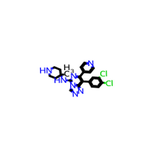 CC1(Nc2nc(-c3ccncc3)c(-c3ccc(Cl)c(Cl)c3)c3nncn23)CCNCC1